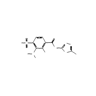 CCC[S+]([O-])c1c(S(C)(=O)=O)ccc(C(=O)Nc2nnc(C(C)C)o2)c1Cl